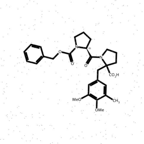 COc1cc(CC2(C(=O)O)CCCN2C(=O)[C@@H]2CCCN2C(=O)OCc2ccccc2)cc(C)c1OC